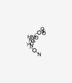 CC(C)[C@@H]1c2nc(NC(=O)Cc3ccc(S(C)(=O)=O)cc3)sc2CN1C(C)c1ccc(C#N)cc1